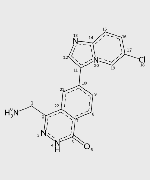 NCc1n[nH]c(=O)c2ccc(-c3cnc4ccc(Cl)cn34)cc12